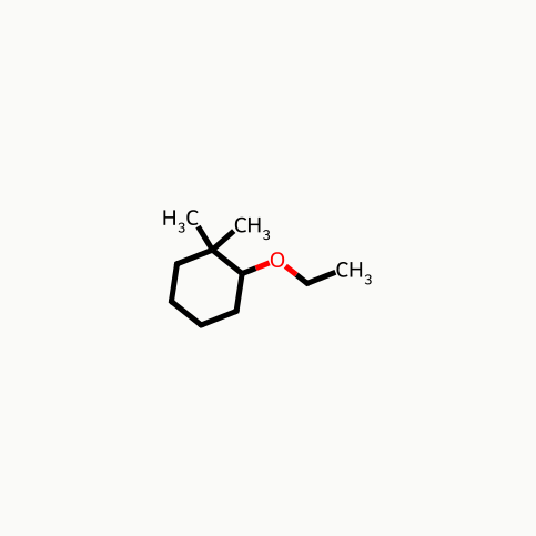 CCOC1CCCCC1(C)C